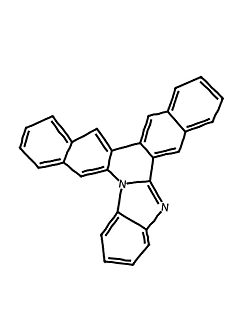 c1ccc2cc3c(cc2c1)c1cc2ccccc2cc1n1c2ccccc2nc31